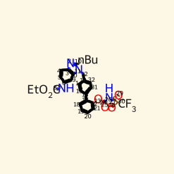 CCCCc1nc2ccc(NC(=O)OCC)cc2n1Cc1ccc(-c2ccccc2OC(=O)NS(=O)(=O)C(F)(F)F)cc1